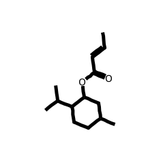 C/C=C/C(=O)OC1CC(C)CCC1C(C)C